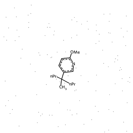 CCCC(C)(CCC)c1ccc(OC)nc1